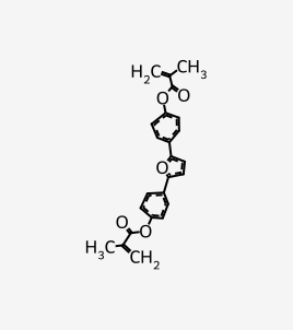 C=C(C)C(=O)Oc1ccc(-c2ccc(-c3ccc(OC(=O)C(=C)C)cc3)o2)cc1